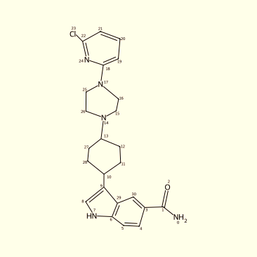 NC(=O)c1ccc2[nH]cc(C3CCC(N4CCN(c5cccc(Cl)n5)CC4)CC3)c2c1